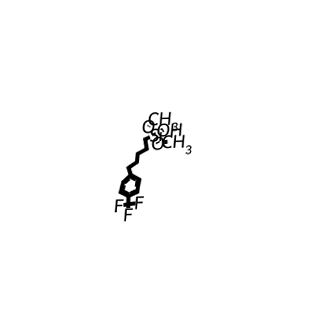 CO[Si](O)(CCCCCc1ccc(C(F)(F)F)cc1)OC